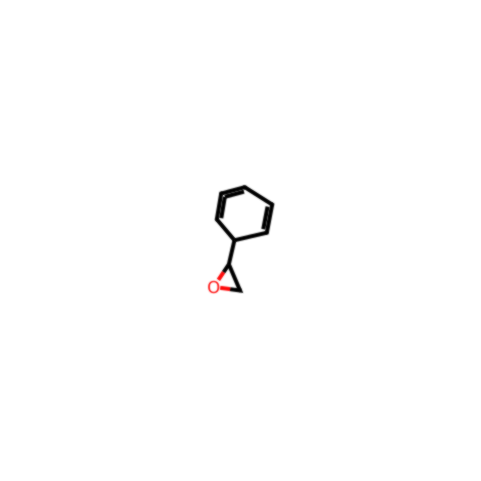 C1=CC=CC(C2CO2)C=1